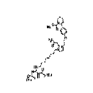 CC(C)(C)OC(=O)/N=C(/NCCCCCCCCN1C=CN(CCOc2ccc(C3=NCCCN3C(=O)OC(C)(C)C)cc2)/C1=C/C(=O)C(F)(F)F)NC(=O)OC(C)(C)C